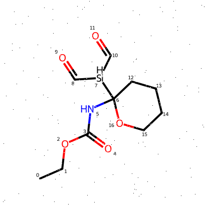 CCOC(=O)NC1([SiH](C=O)C=O)CCCCO1